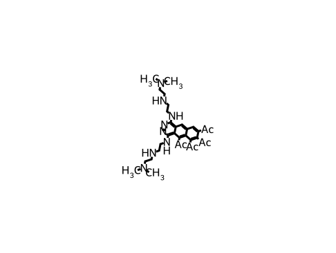 CC(=O)c1cc2cc3c(NCCNCCN(C)C)nnc(NCCNCCN(C)C)c3c(C(C)=O)c2c(C(C)=O)c1C(C)=O